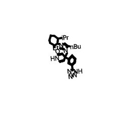 CCCCc1cn(C2C(CC)CCCCC2C(C)C)c(=O)n1CC1(c2cccc(-c3nnn[nH]3)c2)C=CNC=C1